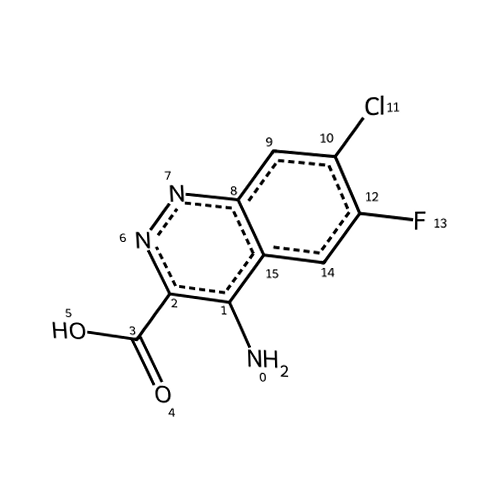 Nc1c(C(=O)O)nnc2cc(Cl)c(F)cc12